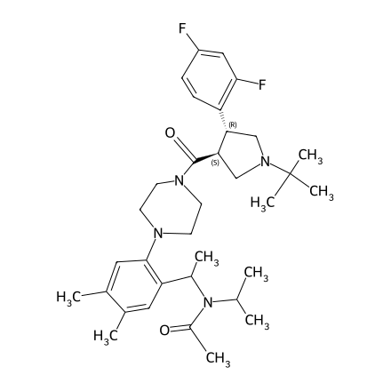 CC(=O)N(C(C)C)C(C)c1cc(C)c(C)cc1N1CCN(C(=O)[C@@H]2CN(C(C)(C)C)C[C@H]2c2ccc(F)cc2F)CC1